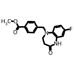 COC(=O)c1ccc(CN2CCC(=O)Nc3cc(F)ccc32)cc1